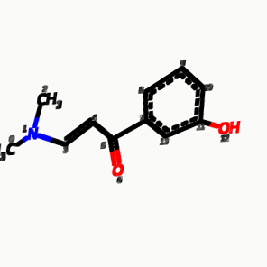 CN(C)/C=C/C(=O)c1cccc(O)c1